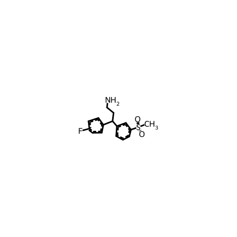 CS(=O)(=O)c1cccc(C(CCN)c2ccc(F)cc2)c1